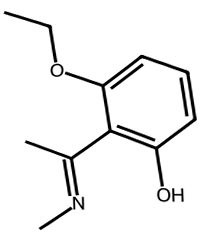 CCOc1cccc(O)c1C(C)=NC